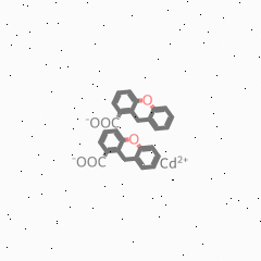 O=C([O-])c1cccc2c1Cc1ccccc1O2.O=C([O-])c1cccc2c1Cc1ccccc1O2.[Cd+2]